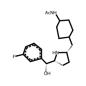 CC(=O)NC1CCC(C[C@@H]2CC[C@H]([C@H](O)c3cccc(F)c3)N2)CC1